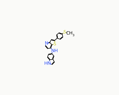 CSc1ccc(-c2cc3nccc(Nc4ccc5[nH]ccc5c4)c3s2)cc1